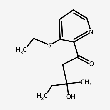 CCSc1cccnc1C(=O)CC(C)(O)CC